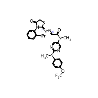 CC(C)c1ccccc1N1C(=O)CS/C1=N\N=C\C(=O)N(C)c1cnc(N(C)c2ccc(OC(F)(F)F)cc2)nc1